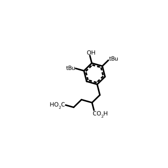 CC(C)(C)c1cc(CC(CCC(=O)O)C(=O)O)cc(C(C)(C)C)c1O